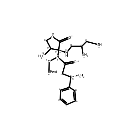 CCCCCON(C(=O)C[C@H](C)c1ccccc1)[C@@]1(NCC(N)CS)C(=O)OCC1C